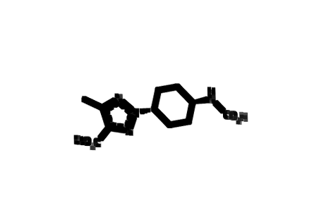 CCOC(=O)c1nn([C@H]2CC[C@H](NC(=O)O)CC2)nc1C